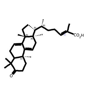 C/C(=C\CC[C@@H](C)[C@H]1CC[C@@]2(C)C3=CCC4C(C)(C)C(=O)CC[C@]4(C)C3=CC[C@]12C)C(=O)O